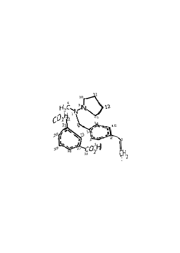 C=Cc1ccc(CN(C)N2CCCC2)cc1.O=C(O)c1cccc(C(=O)O)c1